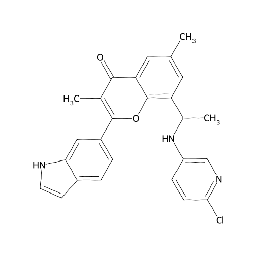 Cc1cc(C(C)Nc2ccc(Cl)nc2)c2oc(-c3ccc4cc[nH]c4c3)c(C)c(=O)c2c1